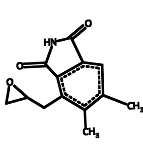 Cc1cc2c(c(CC3CO3)c1C)C(=O)NC2=O